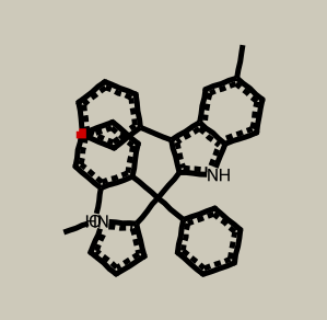 COc1ccccc1C(c1ccccc1)(c1ccc[nH]1)c1[nH]c2ccc(C)cc2c1-c1ccccc1